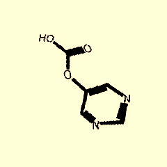 O=C(O)Oc1cncnc1